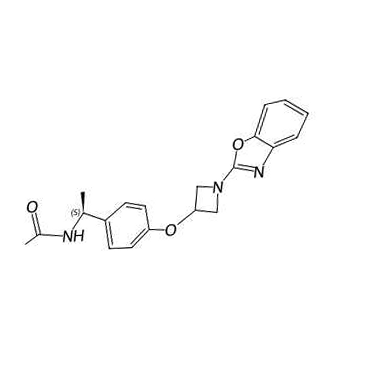 CC(=O)N[C@@H](C)c1ccc(OC2CN(c3nc4ccccc4o3)C2)cc1